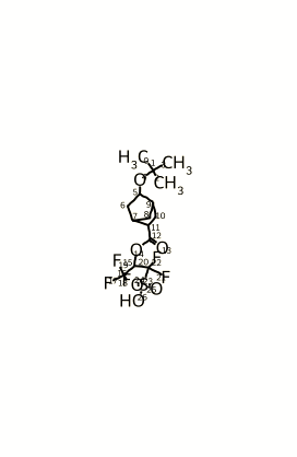 CC(C)(C)OC1CC2CC1CC2C(=O)OC(C(F)(F)F)C(F)(F)S(=O)(=O)O